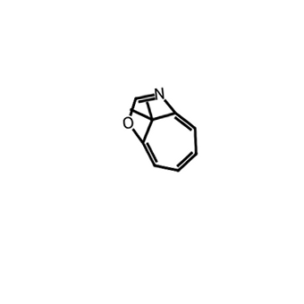 CC1(C)C2=CC=CC=C1OC=N2